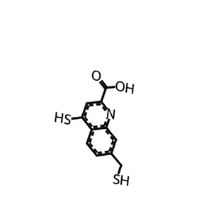 O=C(O)c1cc(S)c2ccc(CS)cc2n1